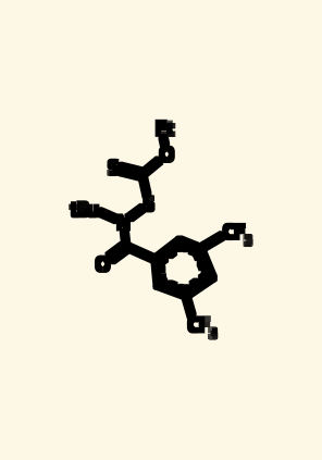 CCOC(=S)SN(C(=O)c1cc(C(F)(F)F)cc(C(F)(F)F)c1)C(C)(C)C